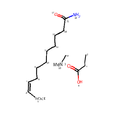 CCC(=O)O.CCCCCCCC/C=C\CCCCCCCC(N)=O.CNC